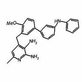 COc1ccc(-c2cccc(Nc3ccccc3)c2)cc1Cc1cc(C)nc(N)c1N